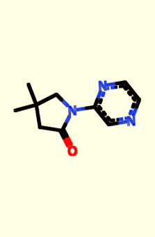 CC1(C)CC(=O)N(c2cnccn2)C1